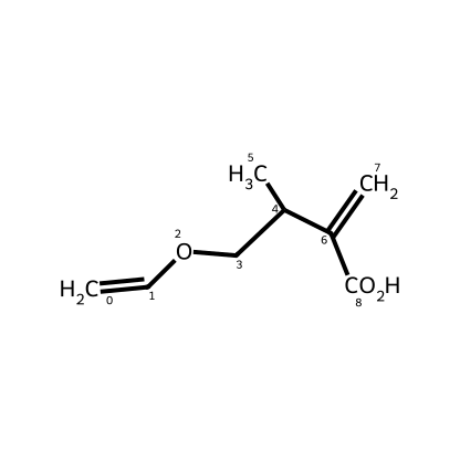 C=COCC(C)C(=C)C(=O)O